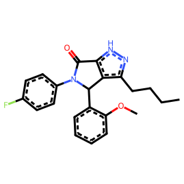 CCCCc1n[nH]c2c1C(c1ccccc1OC)N(c1ccc(F)cc1)C2=O